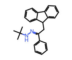 CC(C)(C)NN=C(CC1c2ccccc2-c2ccccc21)c1ccccc1